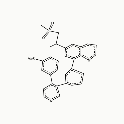 CSc1cccc(-c2ccncc2-c2cccc(-c3cc(C(C)CS(C)(=O)=O)cc4cccnc34)c2)c1